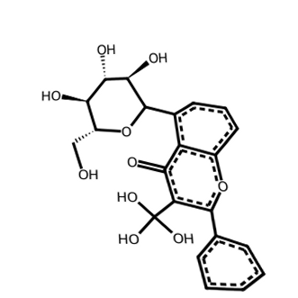 O=c1c(C(O)(O)O)c(-c2ccccc2)oc2cccc(C3O[C@H](CO)[C@@H](O)[C@H](O)[C@H]3O)c12